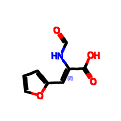 O=CN/C(=C\c1ccco1)C(=O)O